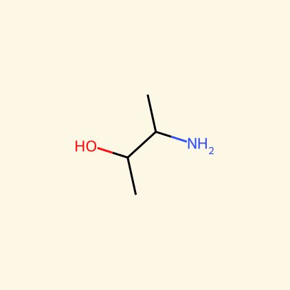 CC(N)C(C)O